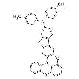 Cc1ccc(N(c2ccc(C)cc2)c2ccc3c(c2)sc2cc4c(cc23)Oc2cccc3c2B4c2ccccc2O3)cc1